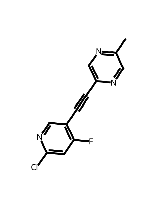 Cc1cnc(C#Cc2cnc(Cl)cc2F)cn1